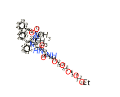 CCOCCOCCOCCOCCOCCNC(=O)CNC(=O)CCn1c(CN(C)N(C)C(=O)OCC2c3ccccc3-c3ccccc32)cc2ccccc21